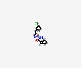 O=C(Nc1ncc(Cc2cccc(Cl)c2)s1)C1Cc2ccccc21